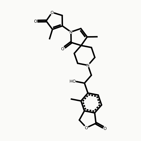 CC1=CN(C2=C(C)C(=O)OC2)C(=O)C12CCN(CC(O)c1ccc3c(c1C)COC3=O)CC2